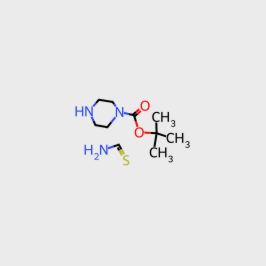 CC(C)(C)OC(=O)N1CCNCC1.NC=S